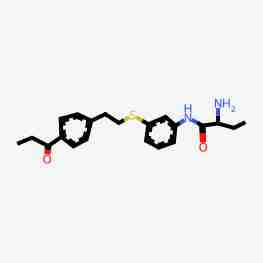 CCC(=O)c1ccc(CCSc2cccc(NC(=O)C(N)CC)c2)cc1